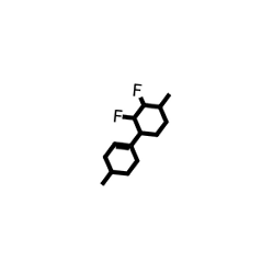 CC1CC=C(C2CCC(C)C(F)C2F)CC1